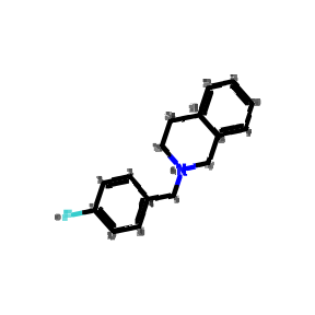 Fc1ccc(CN2[C]c3ccccc3CC2)cc1